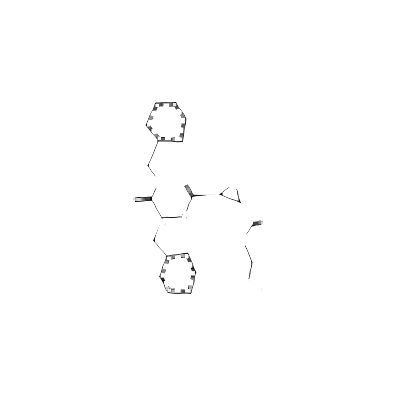 CCOC(=O)[C@H]1O[C@@H]1C(=O)N[C@@H](Cc1ccccc1)C(=O)OCc1ccccc1